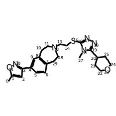 Cc1cc(-c2ccc3c(c2)CCN(CCSc2nnc(C4CCOCC4)n2C)CC3)no1